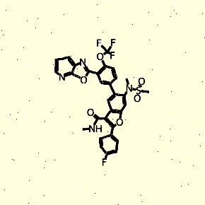 CNC(=O)c1c(-c2ccc(F)cc2)oc2cc(N(C)S(C)(=O)=O)c(-c3ccc(OC(F)(F)F)c(-c4nc5cccnc5o4)c3)cc12